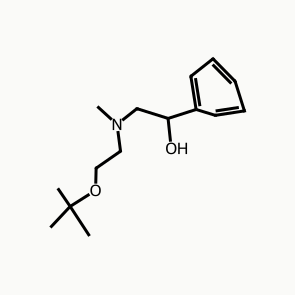 CN(CCOC(C)(C)C)CC(O)c1ccccc1